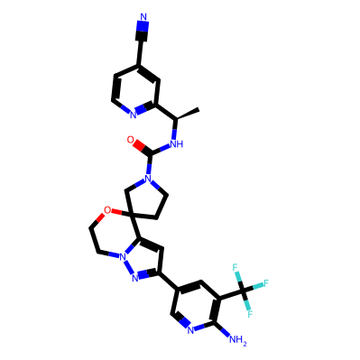 C[C@@H](NC(=O)N1CCC2(C1)OCCn1nc(-c3cnc(N)c(C(F)(F)F)c3)cc12)c1cc(C#N)ccn1